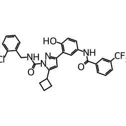 O=C(Nc1ccc(O)c(-c2cc(C3CCC3)n(C(=O)NCc3ccccc3Cl)n2)c1)c1cccc(C(F)(F)F)c1